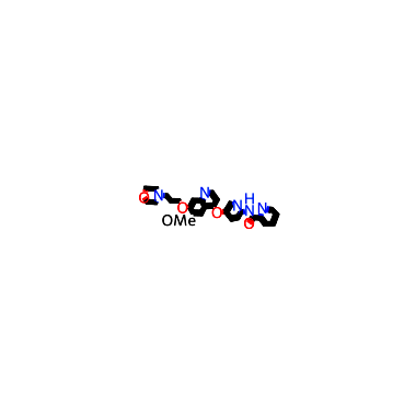 COc1cc2c(Oc3ccc(NC(=O)c4ccccn4)nc3)ccnc2cc1OCCCN1CCOCC1